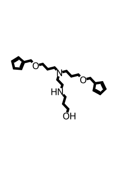 OCCCNCCN(CCCOCC1=CCC=C1)CCCOCC1C=CC=C1